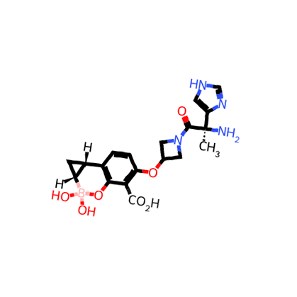 C[C@](N)(C(=O)N1CC(Oc2ccc3c(c2C(=O)O)O[B-](O)(O)[C@@H]2C[C@H]32)C1)c1c[nH]cn1